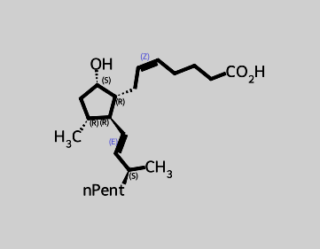 CCCCC[C@H](C)/C=C/[C@@H]1[C@@H](C/C=C\CCCC(=O)O)[C@@H](O)C[C@H]1C